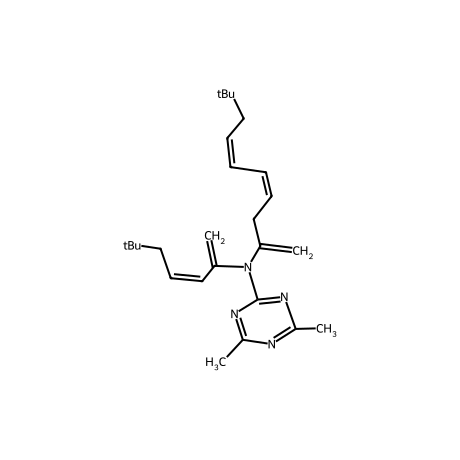 C=C(/C=C\CC(C)(C)C)N(C(=C)C/C=C\C=C/CC(C)(C)C)c1nc(C)nc(C)n1